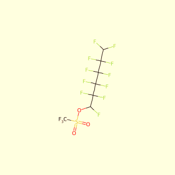 O=S(=O)(OC(F)C(F)(F)C(F)(F)C(F)(F)C(F)(F)C(F)F)C(F)(F)F